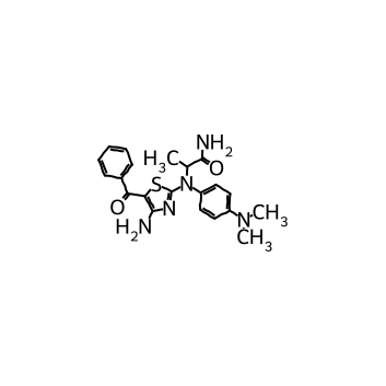 CC(C(N)=O)N(c1ccc(N(C)C)cc1)c1nc(N)c(C(=O)c2ccccc2)s1